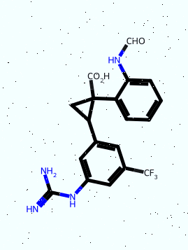 N=C(N)Nc1cc(C2CC2(C(=O)O)c2ccccc2NC=O)cc(C(F)(F)F)c1